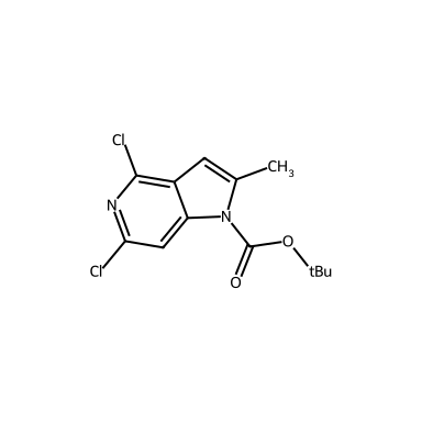 Cc1cc2c(Cl)nc(Cl)cc2n1C(=O)OC(C)(C)C